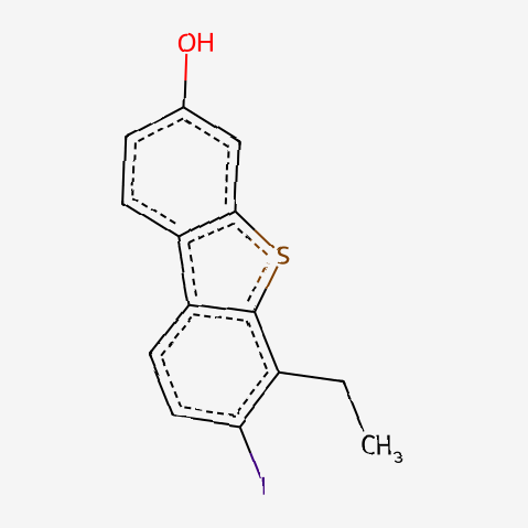 CCc1c(I)ccc2c1sc1cc(O)ccc12